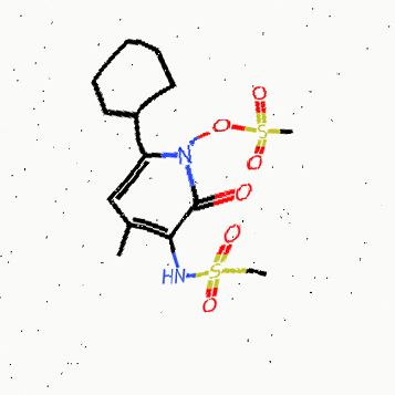 Cc1cc(C2CCCCC2)n(OS(C)(=O)=O)c(=O)c1NS(C)(=O)=O